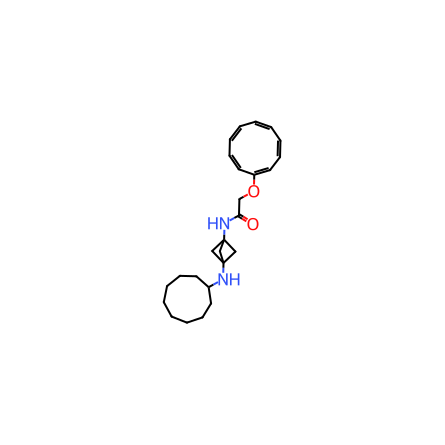 O=C(COc1ccccccccc1)NC12CC(NC3CCCCCCCC3)(C1)C2